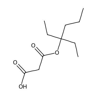 CCCC(CC)(CC)OC(=O)CC(=O)O